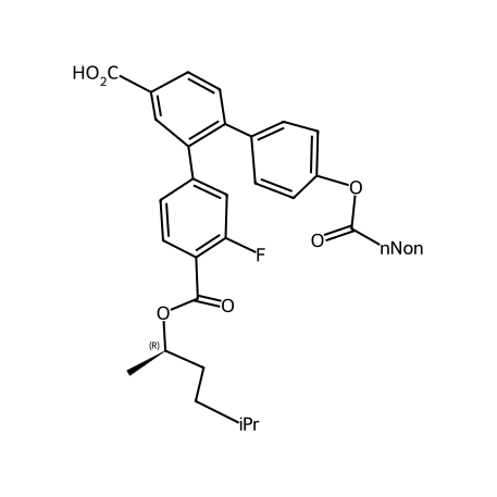 CCCCCCCCCC(=O)Oc1ccc(-c2ccc(C(=O)O)cc2-c2ccc(C(=O)O[C@H](C)CCC(C)C)c(F)c2)cc1